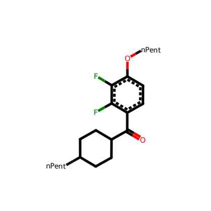 CCCCCOc1ccc(C(=O)C2CCC(CCCCC)CC2)c(F)c1F